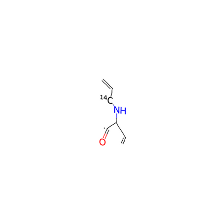 C=C[14CH2]NC([C]=O)C=C